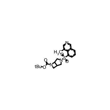 Cc1cncc2cccc(S(=O)(=O)N3CC4CN(C(=O)OC(C)(C)C)C4C3)c12